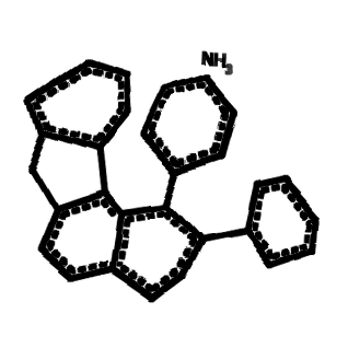 N.c1ccc(-c2ccc3ccc4c(c3c2-c2ccccc2)-c2ccccc2C4)cc1